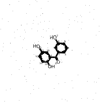 O=C(c1cccc(O)c1)c1cc(O)ccc1O